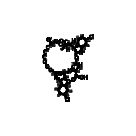 C[C@H]1CN2CC[C@@H]1n1c(nc3cc(Cl)ccc31)O[C@H]1C[C@@H](C(=O)O)N(C1)c1nc(nc3c1oc1cc(Cl)ccc13)CCOCCCC2=O